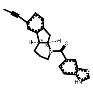 CC#Cc1ccc2c(c1)[C@@H]1CCCN(C(=O)c3ccc4[nH]cnc4c3)[C@@H]1C2